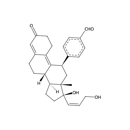 C[C@]12C[C@H](c3ccc(C=O)cc3)C3=C4CCC(=O)C=C4CC[C@H]3[C@@H]1CC[C@@]2(O)/C=C\CO